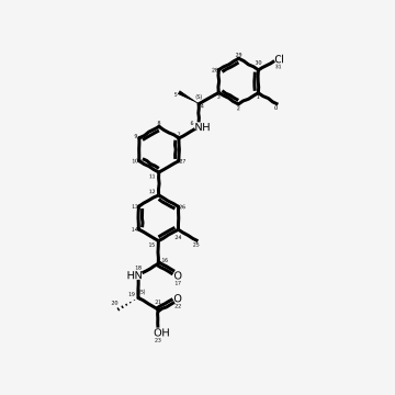 Cc1cc([C@H](C)Nc2cccc(-c3ccc(C(=O)N[C@@H](C)C(=O)O)c(C)c3)c2)ccc1Cl